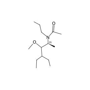 CCCN(C(C)=O)[C@@H](C)C(OC)C(CC)CC